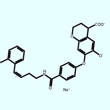 O=C(NCC/C=C\c1ccccc1Cl)c1ccc(Oc2cc3c(cc2Cl)C(C(=O)[O-])CCO3)cc1.[Na+]